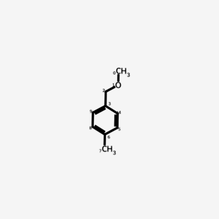 COCc1[c]cc(C)cc1